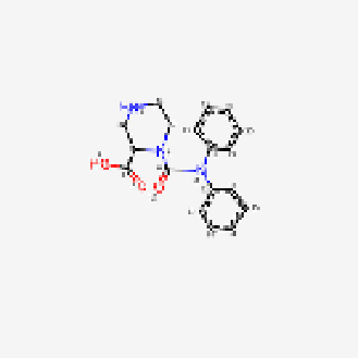 O=C(O)C1CNCCN1C(=O)N(c1ccccc1)c1ccccc1